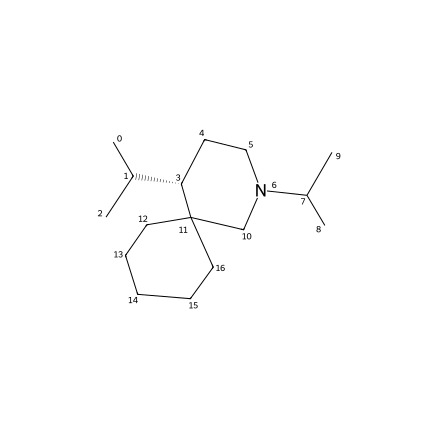 CC(C)[C@@H]1CCN(C(C)C)CC12CCCCC2